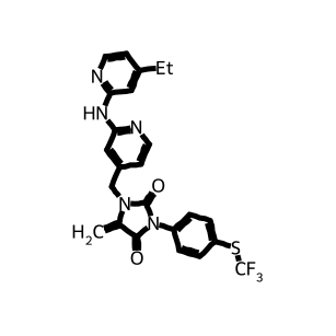 C=C1C(=O)N(c2ccc(SC(F)(F)F)cc2)C(=O)N1Cc1ccnc(Nc2cc(CC)ccn2)c1